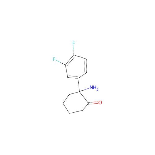 NC1(c2ccc(F)c(F)c2)CCCCC1=O